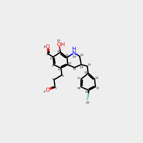 O=CCCc1cc(C=O)c(O)c2c1CC(Cc1ccc(F)cc1)CN2